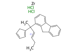 CC/C=C/C(C)(C1=CC=CC1)c1cccc2c1Cc1ccccc1-2.Cl.Cl.[Zr]